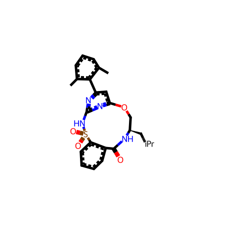 Cc1cccc(C)c1-c1cc2nc(n1)NS(=O)(=O)c1ccccc1C(=O)N[C@H](CC(C)C)CO2